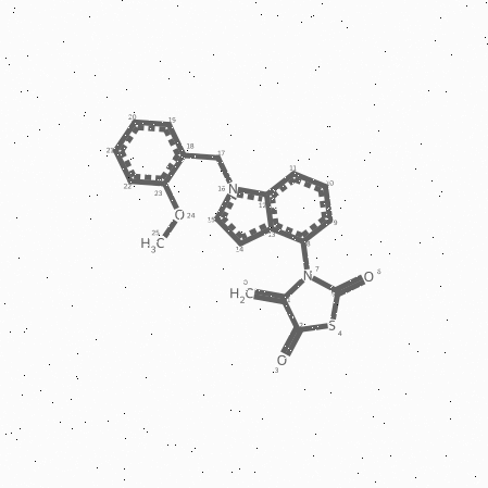 C=C1C(=O)SC(=O)N1c1cccc2c1ccn2Cc1ccccc1OC